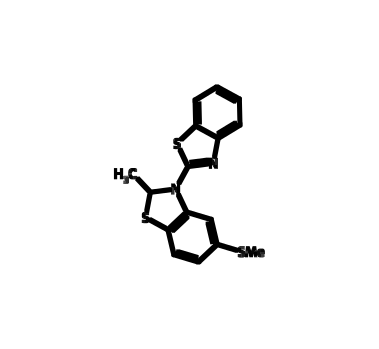 CSc1ccc2c(c1)N(c1nc3ccccc3s1)C(C)S2